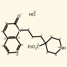 CCOC(=O)C1(CCCn2c(=O)ccc3ccncc32)CCNCC1.Cl